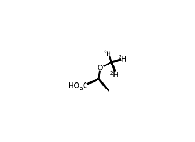 [2H]C([2H])([2H])OC(C)C(=O)O